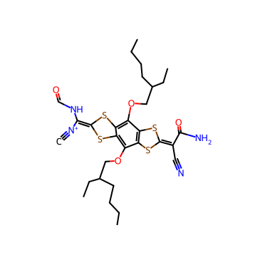 [C-]#[N+]C(NC=O)=C1Sc2c(OCC(CC)CCCC)c3c(c(OCC(CC)CCCC)c2S1)SC(=C(C#N)C(N)=O)S3